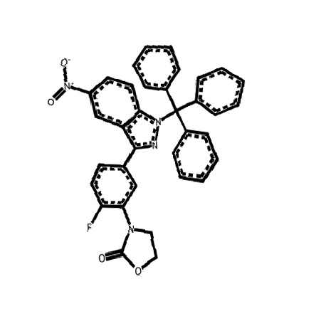 O=C1OCCN1c1cc(-c2nn(C(c3ccccc3)(c3ccccc3)c3ccccc3)c3ccc([N+](=O)[O-])cc23)ccc1F